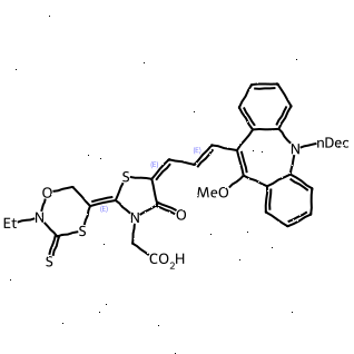 CCCCCCCCCCN1c2ccccc2C(/C=C/C=c2/s/c(=C3\CON(CC)C(=S)S3)n(CC(=O)O)c2=O)=C(OC)c2ccccc21